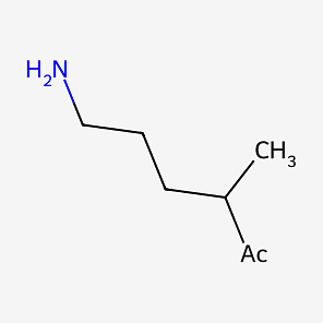 CC(=O)C(C)CCCN